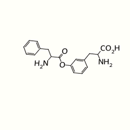 NC(Cc1cccc(OC(=O)C(N)Cc2ccccc2)c1)C(=O)O